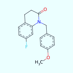 COc1ccc(CN2C(=O)CCc3ccc(F)cc32)cc1